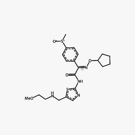 COCCNCc1cnc(NC(=O)/C(=N/OC2CCCC2)c2ccc([S+](C)[O-])cc2)s1